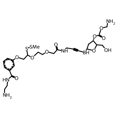 CSSC(COc1cccc(C(=O)NCCN)c1)OCCOCC(=O)NCC#CB[C@H]1C[C@@H](OC(=O)OCN)C(CO)O1